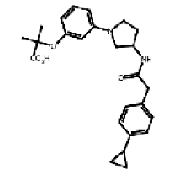 CC(C)(Oc1cccc(N2CCC(NC(=O)Cc3ccc(C4CC4)cc3)C2)c1)C(=O)O